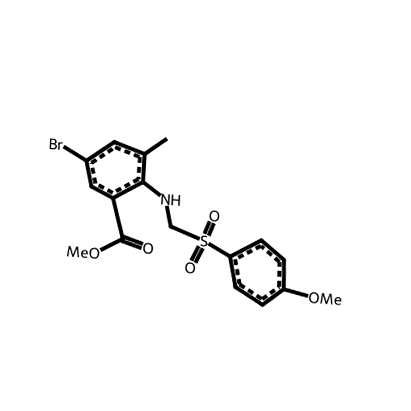 COC(=O)c1cc(Br)cc(C)c1NCS(=O)(=O)c1ccc(OC)cc1